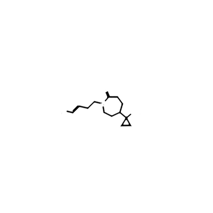 CC=CCCN1CCC(C2(C)CC2)CCC1=O